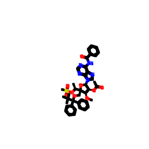 CO[C@H]1[C@@H](OC(C)=O)[C@H](n2cnc3c(NC(=O)c4ccccc4)ncnc32)O[C@@]1(CO[Si](c1ccccc1)(c1ccccc1)C(C)(C)C)[C@H](C)OS(C)(=O)=O